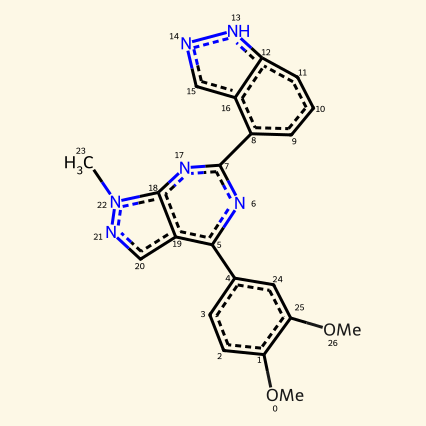 COc1ccc(-c2nc(-c3cccc4[nH]ncc34)nc3c2cnn3C)cc1OC